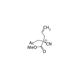 C=CC[C@@](C#N)(CC(C)=O)C(=O)OC